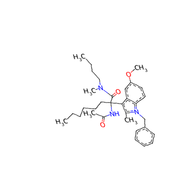 CCCCCCC(NC(C)=O)(C(=O)N(C)CCCC)c1c(C)n(Cc2ccccc2)c2ccc(OC)cc12